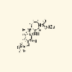 CC(C)(C)OC(=O)N1CCCC[C@@H](Nc2c(N)ccc(O[C@@H]3CCOC3)c2Cl)C1